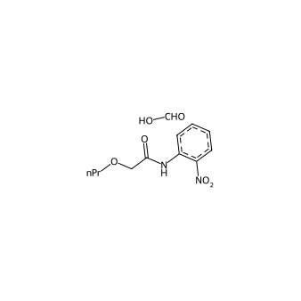 CCCOCC(=O)Nc1ccccc1[N+](=O)[O-].O=CO